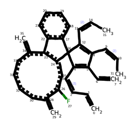 C=C/C=C\C1=C(C=C)C(/C=C\C)=C(/C=C\C)C12c1ccccc1-c1c2cc(F)c(=C)ccccc1=C